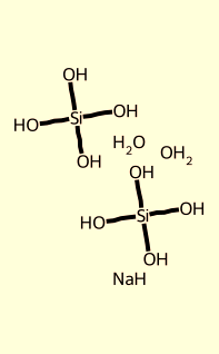 O.O.O[Si](O)(O)O.O[Si](O)(O)O.[NaH]